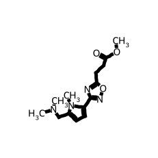 COC(=O)CCc1nc(-c2ccc(CN(C)C)n2C)no1